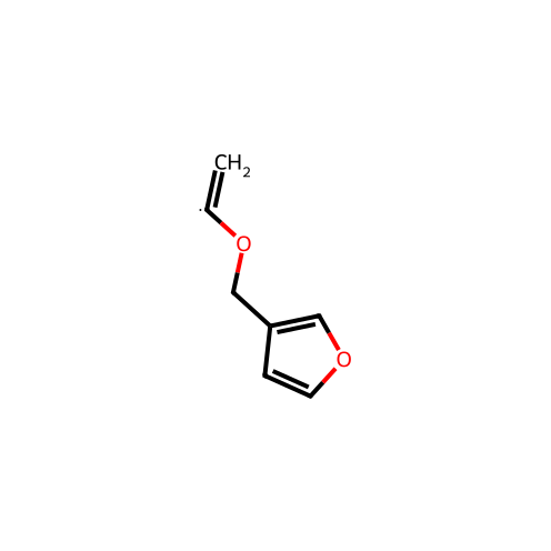 C=[C]OCc1ccoc1